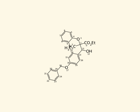 CCOC(=O)C(C)(Oc1ccccc1C)C(O)c1ccc(OCc2ccccc2)cc1